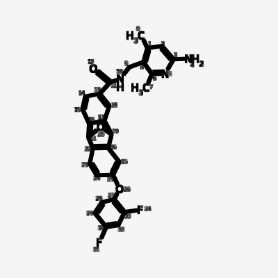 Cc1cc(N)nc(C)c1CNC(=O)c1ccc2c(c1)c1oc2c2ccc(Oc3ccc(F)cc3F)cc21